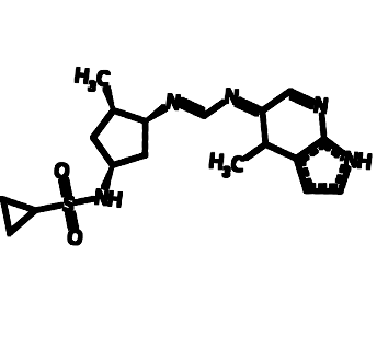 CC1/C(=N\C=N\[C@H]2C[C@@H](NS(=O)(=O)C3CC3)C[C@H]2C)C=Nc2[nH]ccc21